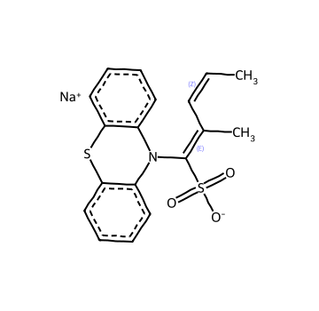 C/C=C\C(C)=C(/N1c2ccccc2Sc2ccccc21)S(=O)(=O)[O-].[Na+]